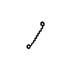 c1ccc(CCCCCCCCCCCCCCCc2ccccc2)cc1